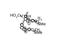 CNC(C)COc1ccc(N2N=C3c4cc(F)ccc4CCC3CC2=O)cc1.CNC(C)COc1ccc(N2N=C3c4cc(F)ccc4CCC3CC2=O)cc1.O=C(O)C=CC(=O)O